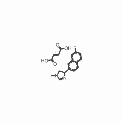 CN1C=NC(c2ccc3ccc(F)cc3c2)C1.O=C(O)/C=C/C(=O)O